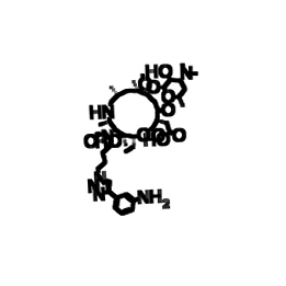 CC[C@H]1OC(=O)[C@H](CC(=O)O)C(=O)C[C@@H](O[C@@H]2O[C@H](C)CC(N(C)C)C2O)[C@](C)(OC)C[C@@H](C)CN[C@H](C)[C@@H](N(C=O)CCCCn2cc(-c3cccc(N)c3)nn2)[C@]1(C)O